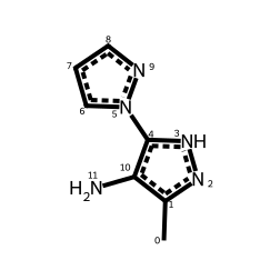 Cc1n[nH]c(-n2cccn2)c1N